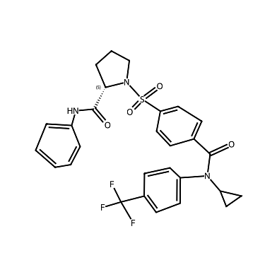 O=C(Nc1ccccc1)[C@@H]1CCCN1S(=O)(=O)c1ccc(C(=O)N(c2ccc(C(F)(F)F)cc2)C2CC2)cc1